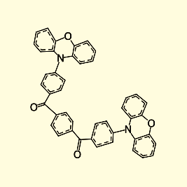 O=C(c1ccc(C(=O)c2ccc(N3c4ccccc4Oc4ccccc43)cc2)cc1)c1ccc(N2c3ccccc3Oc3ccccc32)cc1